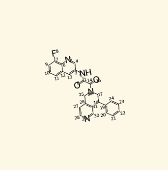 O=C(Nc1cnc2c(F)cccc2c1)C(=O)N(CCc1ccccc1)Cc1ccncc1